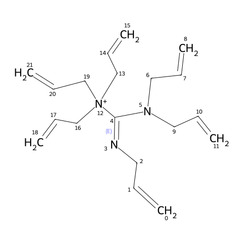 C=CC/N=C(\N(CC=C)CC=C)[N+](CC=C)(CC=C)CC=C